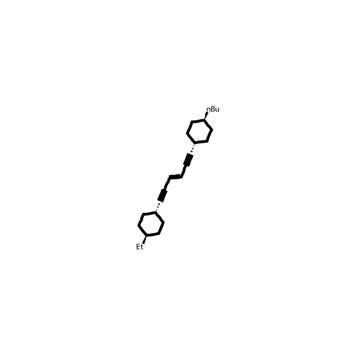 CCCC[C@H]1CC[C@H](C#C/C=C/C#C[C@H]2CC[C@H](CC)CC2)CC1